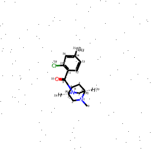 CN1C[C@H]2CC[C@@H]1CN2C(=O)c1ccc(C(C)(C)C)cc1Cl